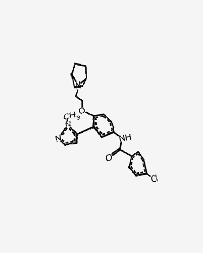 Cn1nccc1-c1cc(NC(=O)c2ccc(Cl)cc2)ccc1OCCN1C2CCC1CC2